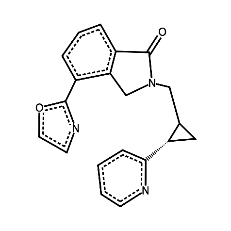 O=C1c2cccc(-c3ncco3)c2CN1CC1C[C@@H]1c1ccccn1